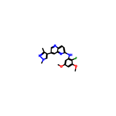 COc1cc(Nc2ccc3ncc(-c4cn(C)nc4C)cc3n2)c(F)c(OC)c1